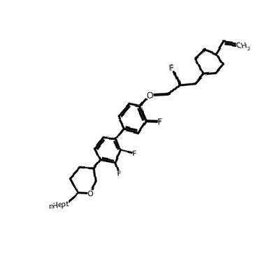 C=CC1CCC(CC(F)COc2ccc(-c3ccc(C4CCC(CCCCCCC)OC4)c(F)c3F)cc2F)CC1